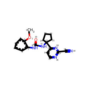 COc1ccccc1NC(=O)NC1(c2ccnc(C#N)n2)CCCC1